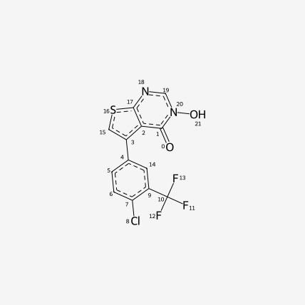 O=c1c2c(-c3ccc(Cl)c(C(F)(F)F)c3)csc2ncn1O